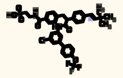 CC(C)(C)/C=C/c1ccc(C(Cc2ccc(C(=O)NCCS(=O)(=O)O)cc2)C(=O)Nc2cc(Cl)cc(-c3ccc(OC(F)(F)F)cc3)c2)cc1